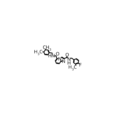 Cc1cc(CNC(=O)c2cn3c(C(=O)NCC4=CC(C)C(C)C=C4)cccc3n2)ccc1F